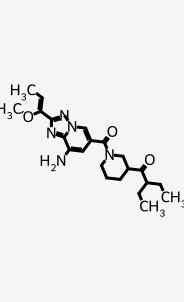 C/C=C(\OC)c1nc2c(N)cc(C(=O)N3CCCC(C(=O)C(CC)CC)C3)cn2n1